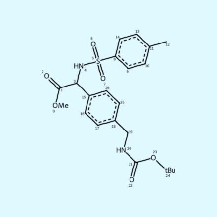 COC(=O)C(NS(=O)(=O)c1ccc(C)cc1)c1ccc(CNC(=O)OC(C)(C)C)cc1